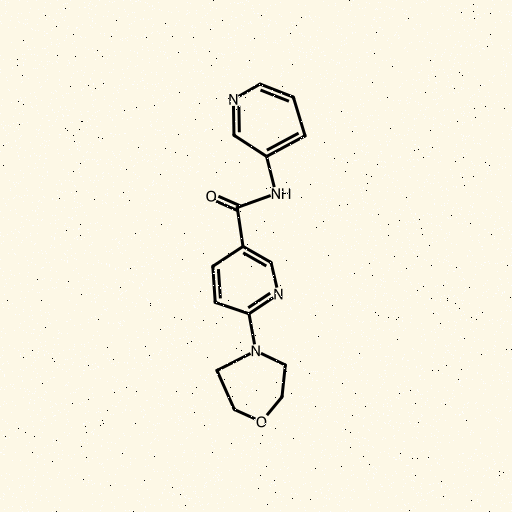 O=C(Nc1cccnc1)c1ccc(N2CCOCC2)nc1